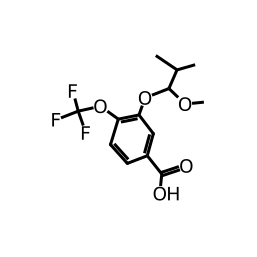 COC(Oc1cc(C(=O)O)ccc1OC(F)(F)F)C(C)C